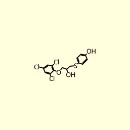 Oc1ccc(SCC(O)COc2c(Cl)cc(Cl)cc2Cl)cc1